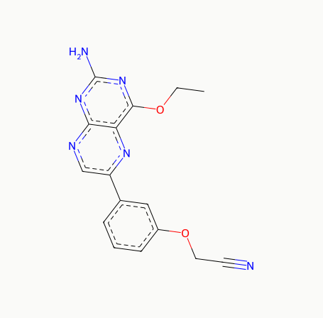 CCOc1nc(N)nc2ncc(-c3cccc(OCC#N)c3)nc12